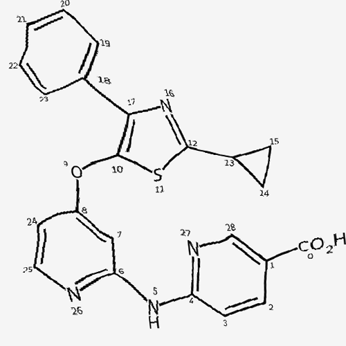 O=C(O)c1ccc(Nc2cc(Oc3sc(C4CC4)nc3-c3ccccc3)ccn2)nc1